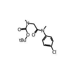 CN(CC(=O)N(C)c1ccc(Cl)cc1)C(=O)OC(C)(C)C